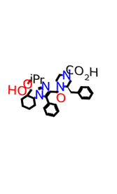 CC(C)OCC1(O)CCCCC1n1cnc(C(=O)N2CCN(C(=O)O)C[C@H]2Cc2ccccc2)c1-c1ccccc1